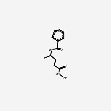 CC(CCC(=S)NO)NC(=O)c1ccccc1